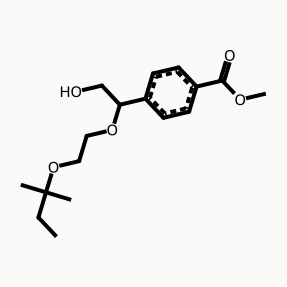 CCC(C)(C)OCCOC(CO)c1ccc(C(=O)OC)cc1